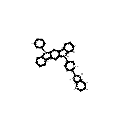 c1ccc(-n2c3ccccc3c3cc4c(cc32)c2ccccc2n4-c2ccc(-c3nc4ncccc4o3)nc2)cc1